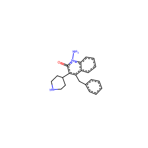 Nn1c(=O)c(C2CCNCC2)c(Cc2ccccc2)c2ccccc21